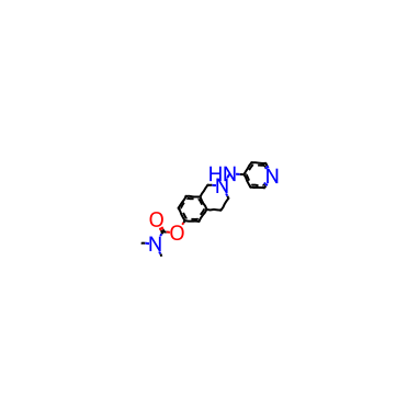 CN(C)C(=O)Oc1ccc2c(c1)CCN(Nc1ccncc1)C2